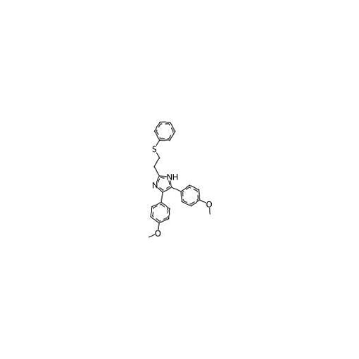 COc1ccc(-c2nc(CCSc3ccccc3)[nH]c2-c2ccc(OC)cc2)cc1